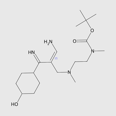 CN(CCN(C)C(=O)OC(C)(C)C)C/C(=C/N)C(=N)C1CCC(O)CC1